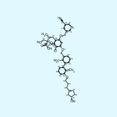 Cc1c(COc2cc(OCc3cncc(C#N)c3)c(CN(C)C(C)(CO)C(=O)O)c(C)c2Cl)cccc1-c1cccc(OCCCN2CC[C@@H](O)C2)c1C